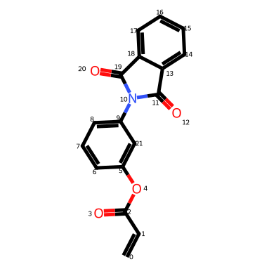 C=CC(=O)Oc1cccc(N2C(=O)c3ccccc3C2=O)c1